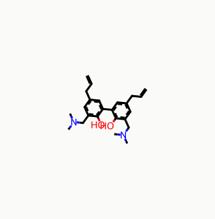 C=CCc1cc(CN(C)C)c(O)c(-c2cc(CC=C)cc(CN(C)C)c2O)c1